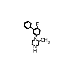 CC1CNCCN1c1ccc(F)c(-c2ccccc2)c1